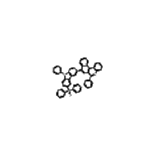 O=P(c1ccccc1)(c1ccccc1)c1ccc2c(c1)c1cc(-c3cc4c(-c5ccccc5)nc5ccccc5c4c4ccccc34)ccc1n2-c1ccccc1